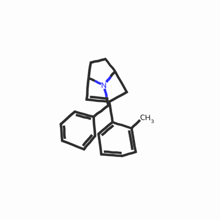 Cc1ccccc1C1=CC2CCC(C1)N2Cc1ccccc1